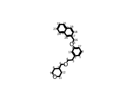 c1cc(CCOCC2CCOCC2)cc(OCc2ccc3ccccc3c2)c1